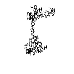 Cc1ncsc1-c1ccc(CNC(=O)[C@@H]2C[C@@H](O)CN2C(=O)C(NC(=O)COCCOCCn2ccc3c(Nc4nc(N[C@@H]5CCCC[C@@H]5N)cc5nc[nH]c(=O)c45)cccc32)C(C)(C)C)cc1